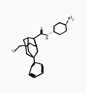 N[C@H]1CC[C@H](NC(=S)C2C3CC4(CCl)CC2CC(c2ccccc2)(C3)C4)CC1